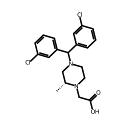 C[C@@H]1CN(C(c2cccc(Cl)c2)c2cccc(Cl)c2)CCN1CC(=O)O